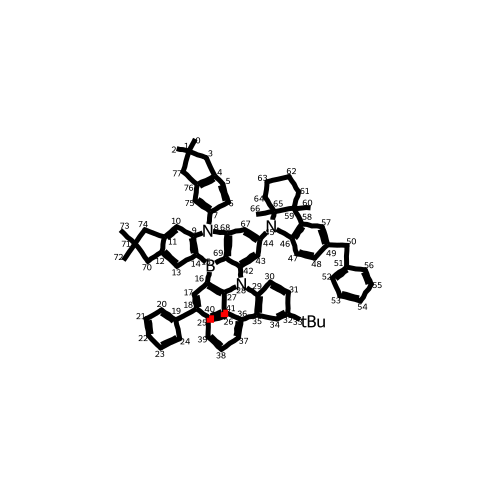 CC1(C)Cc2ccc(N3c4cc5c(cc4B4c6cc(-c7ccccc7)ccc6N(c6ccc(C(C)(C)C)cc6-c6ccccc6)c6cc(N7c8ccc(Cc9ccccc9)cc8C8(C)CCCCC78C)cc3c64)CC(C)(C)C5)cc2C1